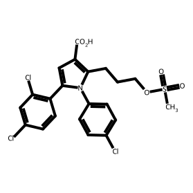 CS(=O)(=O)OCCCc1c(C(=O)O)cc(-c2ccc(Cl)cc2Cl)n1-c1ccc(Cl)cc1